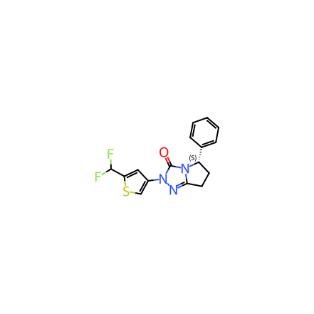 O=c1n(-c2csc(C(F)F)c2)nc2n1[C@H](c1ccccc1)CC2